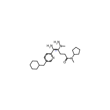 CN(N)/C(CCC(=O)N(C)C1CCCC1)=C(\N)c1ccc(CC2CCCCC2)cn1